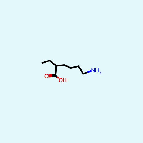 CCC(CCCCN)C(=O)O